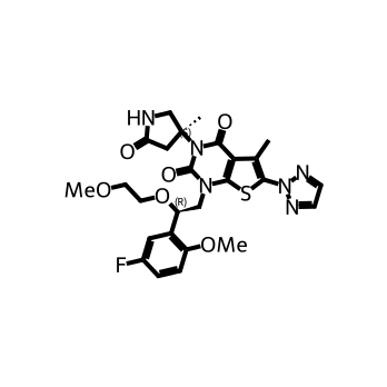 COCCO[C@@H](Cn1c(=O)n([C@]2(C)CNC(=O)C2)c(=O)c2c(C)c(-n3nccn3)sc21)c1cc(F)ccc1OC